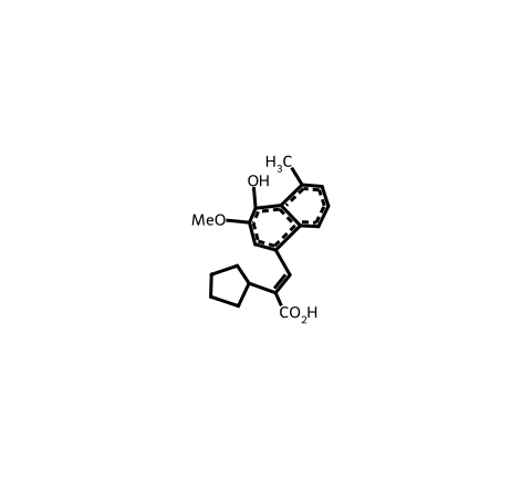 COc1cc(/C=C(/C(=O)O)C2CCCC2)c2cccc(C)c2c1O